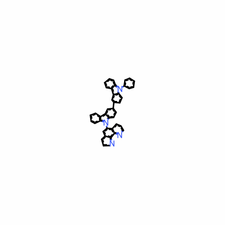 c1ccc(-n2c3ccccc3c3cc(-c4ccc5c(c4)c4ccccc4n5-c4cc5cccnc5c5ncccc45)ccc32)cc1